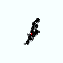 Cc1ccccc1[C@@H]1CN(Cc2cnc3c(c2)OCCO3)CCN1C1CC2(CCN(c3ccc(C(=O)NS(=O)(=O)c4ccc(NCC5CCC(C)(O)CC5)c([N+](=O)[O-])c4)c(N4c5cc6c(F)c[nH]c6nc5O[C@H]5COCC[C@@H]54)c3)CC2)C1